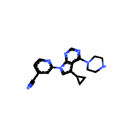 N#Cc1ccnc(-n2cc(C3CC3)c3c(N4CCNCC4)ncnc32)c1